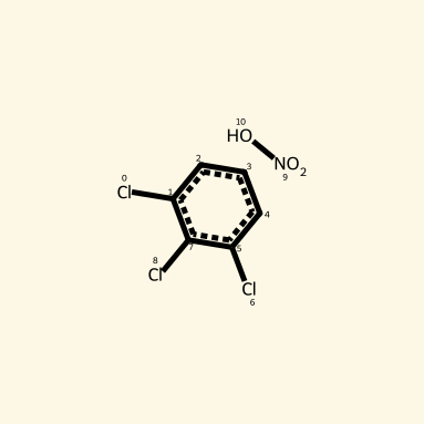 Clc1cccc(Cl)c1Cl.O=[N+]([O-])O